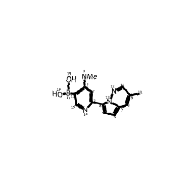 CNc1cc(-c2ccc3cc(C)cnn23)ncc1B(O)O